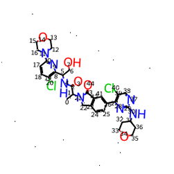 CC(C(=O)NC(CO)c1nc(N2CCOCC2)ccc1Cl)N1Cc2ccc(-c3nc(NC4CCOCC4)ncc3Cl)cc2C1=O